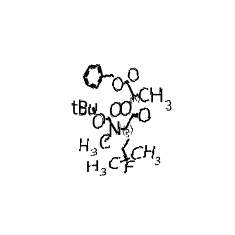 C[C@@H](OC(=O)[C@H](CCC(C)(C)F)N(C)C(=O)OC(C)(C)C)C(=O)OCc1ccccc1